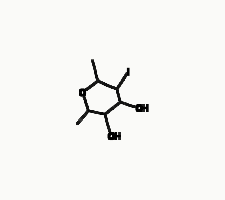 CC1OC(C)C(I)C(O)C1O